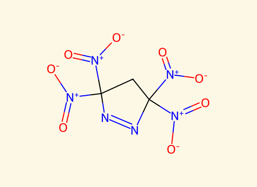 O=[N+]([O-])C1([N+](=O)[O-])CC([N+](=O)[O-])([N+](=O)[O-])N=N1